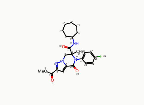 COC(=O)c1cc2n(n1)CC(C)(C(=O)NC1CCCCCC1)N(c1ccc(F)cc1)C2=O